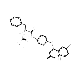 Cc1ccc2[nH]c(=O)cc(Sc3ccc(NC(=O)C(Cc4ccccc4)NC(=O)OC(C)(C)C)cc3)c2c1